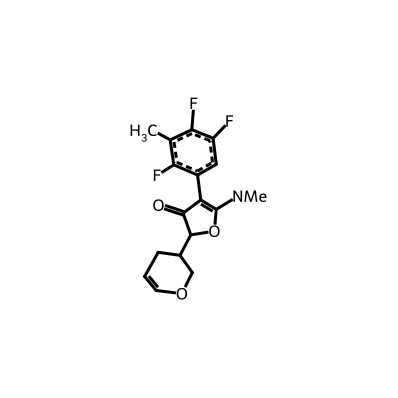 CNC1=C(c2cc(F)c(F)c(C)c2F)C(=O)C(C2CC=COC2)O1